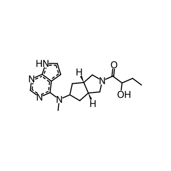 CCC(O)C(=O)N1C[C@H]2CC(N(C)c3ncnc4[nH]ccc34)C[C@H]2C1